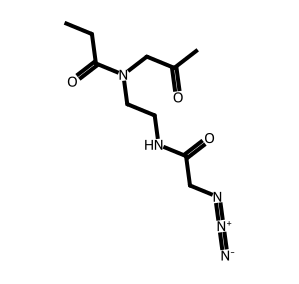 CCC(=O)N(CCNC(=O)CN=[N+]=[N-])CC(C)=O